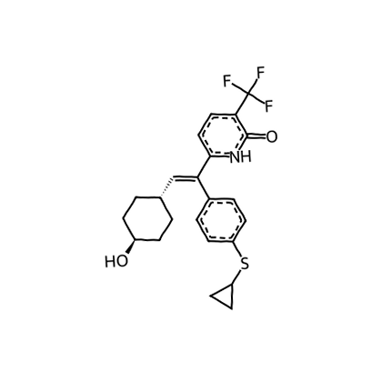 O=c1[nH]c(C(=C[C@H]2CC[C@H](O)CC2)c2ccc(SC3CC3)cc2)ccc1C(F)(F)F